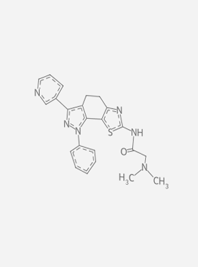 CN(C)CC(=O)Nc1nc2c(s1)-c1c(c(-c3cccnc3)nn1-c1ccccc1)CC2